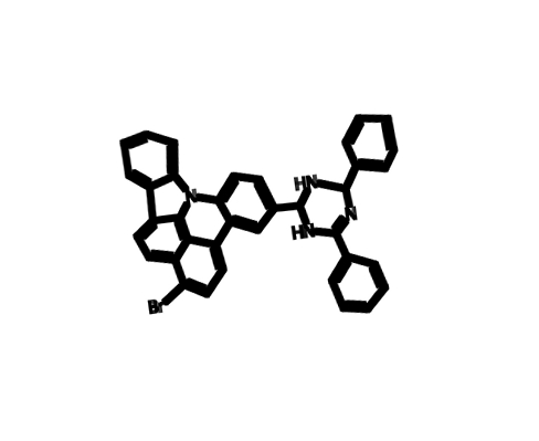 Brc1ccc2c3cc(C4NC(c5ccccc5)=NC(c5ccccc5)N4)ccc3n3c4ccccc4c4ccc1c2c43